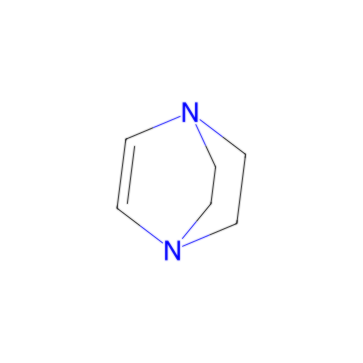 C1=CN2CCN1CC2